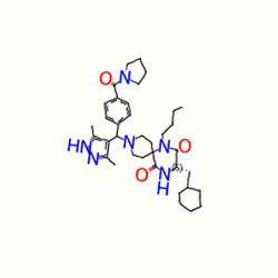 CCCCN1C(=O)[C@H](CC2CCCCC2)NC(=O)C12CCN(C(c1ccc(C(=O)N3CCCC3)cc1)c1c(C)n[nH]c1C)CC2